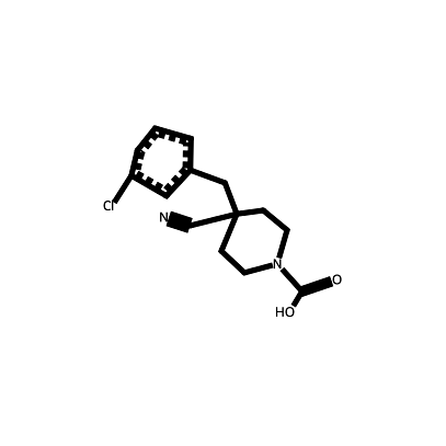 N#CC1(Cc2cccc(Cl)c2)CCN(C(=O)O)CC1